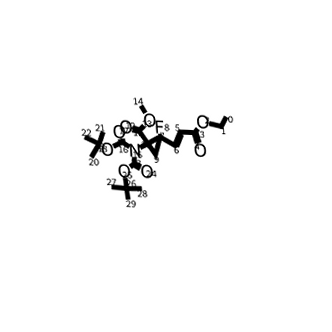 CCOC(=O)/C=C/[C@]1(F)CC1(C(=O)OC)N(C(=O)OC(C)(C)C)C(=O)OC(C)(C)C